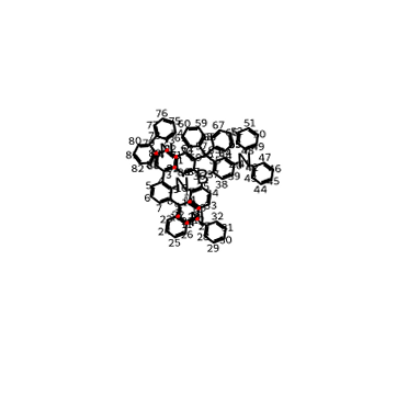 c1ccc(-c2cccc(-c3ccccc3)c2N2c3cc(N(c4ccccc4)c4ccccc4)ccc3B3c4ccc(N(c5ccccc5)c5ccccc5)cc4C(c4ccccc4)(c4ccccc4)c4cc(-n5c6ccccc6c6ccccc65)cc2c43)cc1